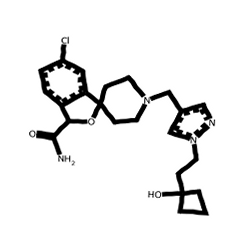 NC(=O)C1OC2(CCN(Cc3cnn(CCC4(O)CCC4)c3)CC2)c2cc(Cl)ccc21